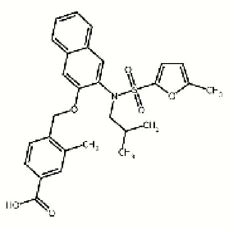 Cc1ccc(S(=O)(=O)N(CC(C)C)c2cc3ccccc3cc2OCc2ccc(C(=O)O)cc2C)o1